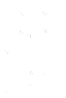 CS(=O)(=O)Nc1cc(F)cc(CN2CCC(CC#N)(n3cc(C(N)=O)c(NC(=O)C4CC4)n3)CC2)c1